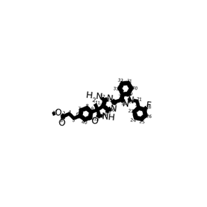 COC(=O)CCc1ccc(C2(C)C(=O)Nc3nc(-c4nn(Cc5ccccc5F)c5ccccc45)nc(N)c32)cc1